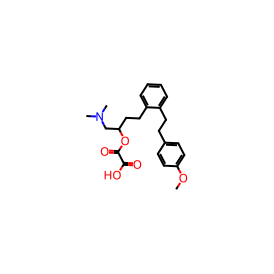 COc1ccc(CCc2ccccc2CCC(CN(C)C)OC(=O)C(=O)O)cc1